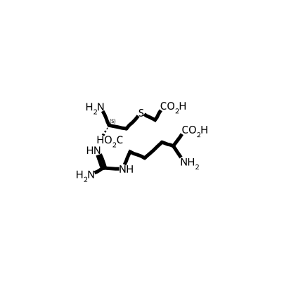 N=C(N)NCCCC(N)C(=O)O.N[C@H](CSCC(=O)O)C(=O)O